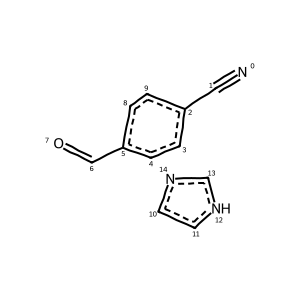 N#Cc1ccc(C=O)cc1.c1c[nH]cn1